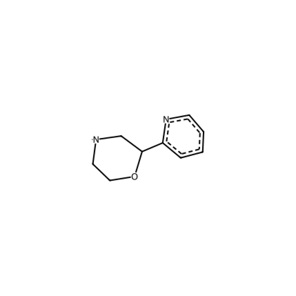 c1ccc(C2C[N]CCO2)nc1